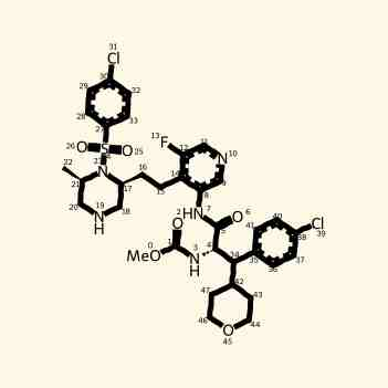 COC(=O)N[C@H](C(=O)Nc1cncc(F)c1CC[C@H]1CNC[C@@H](C)N1S(=O)(=O)c1ccc(Cl)cc1)C(c1ccc(Cl)cc1)C1CCOCC1